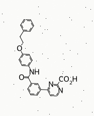 O=C(Nc1ccc(OCCc2ccccc2)cc1)c1cccc(-c2ccnc(C(=O)O)n2)c1